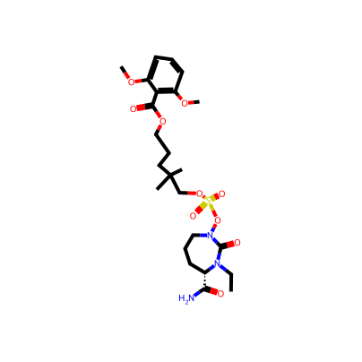 CCN1C(=O)N(OS(=O)(=O)OCC(C)(C)CCCOC(=O)c2c(OC)cccc2OC)CCC[C@H]1C(N)=O